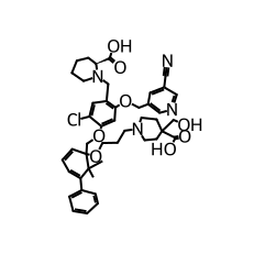 CC1(C)C(c2ccccc2)=CC=CC1(COc1cc(OCc2cncc(C#N)c2)c(CN2CCCC[C@H]2C(=O)O)cc1Cl)OCCCN1CCC(CO)(C(=O)O)CC1